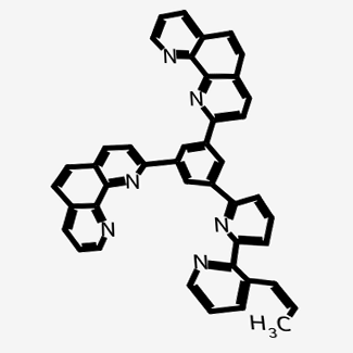 C/C=C\c1cccnc1-c1cccc(-c2cc(-c3ccc4ccc5cccnc5c4n3)cc(-c3ccc4ccc5cccnc5c4n3)c2)n1